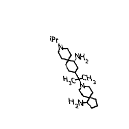 CC(C)N1CCC2(CCC(C(C)(C)N3CCC4(CCC[C@H]4N)CC3)C[C@H]2N)CC1